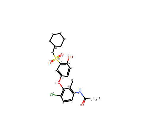 CCOC(=O)C(=O)Nc1ccc(Cl)c(Oc2ccc(O)c(S(=O)(=O)CC3CCCCC3)c2)c1C